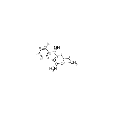 CCCC[C@H](OC(N)=O)[C@@H](O)c1ccccc1I